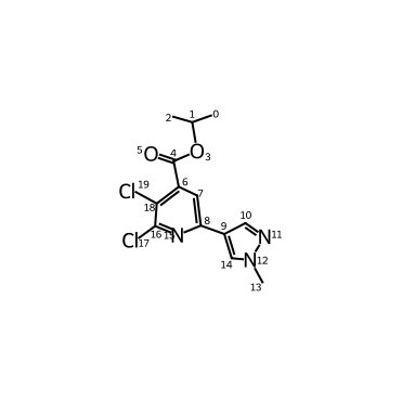 CC(C)OC(=O)c1cc(-c2cnn(C)c2)nc(Cl)c1Cl